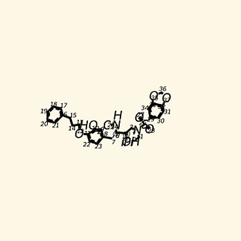 CC(C)CN(C[C@@H](O)[C@H](Cc1ccc(OCCCc2ccccc2)cc1)NC(=O)O)S(=O)(=O)c1ccc2c(c1)OCO2